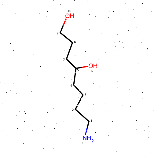 NCCCCC(O)CCCO